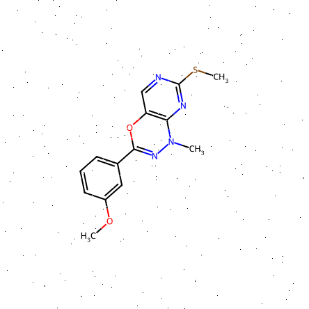 COc1cccc(C2=NN(C)c3nc(SC)ncc3O2)c1